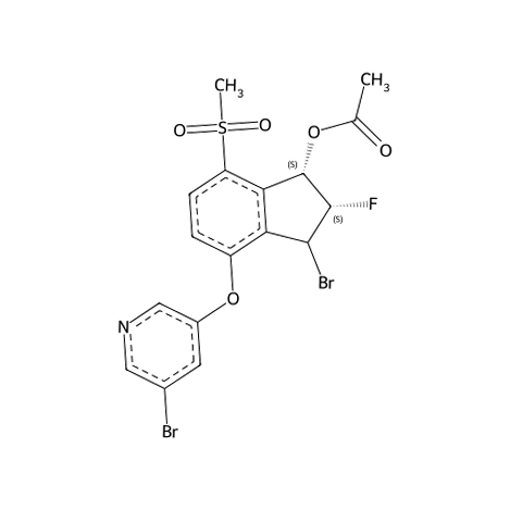 CC(=O)O[C@H]1c2c(S(C)(=O)=O)ccc(Oc3cncc(Br)c3)c2C(Br)[C@H]1F